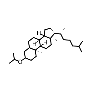 CC(C)CCC[C@@H](C)[C@H]1CC[C@H]2[C@@H]3CCC4CC(OC(C)C)CC[C@]4(C)[C@H]3CC[C@]12C